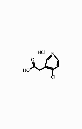 Cl.O=C(O)Cc1cnccc1Cl